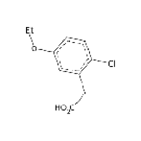 CCOc1ccc(Cl)c(CC(=O)O)c1